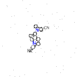 N#CC1=Cc2c(n(-c3ccc(C#N)cc3-c3ccccc3-c3cccc(-n4c5ccccc5c5cc(C#N)ccc54)c3)c3ccccc23)CC1